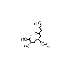 CCCCC(=O)CC(C)SCC(C)C(=O)O